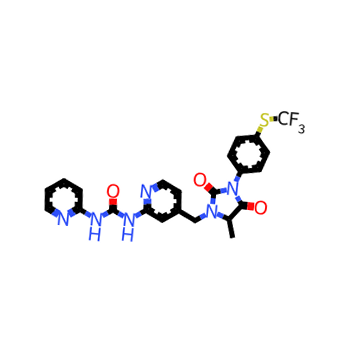 CC1C(=O)N(c2ccc(SC(F)(F)F)cc2)C(=O)N1Cc1ccnc(NC(=O)Nc2ccccn2)c1